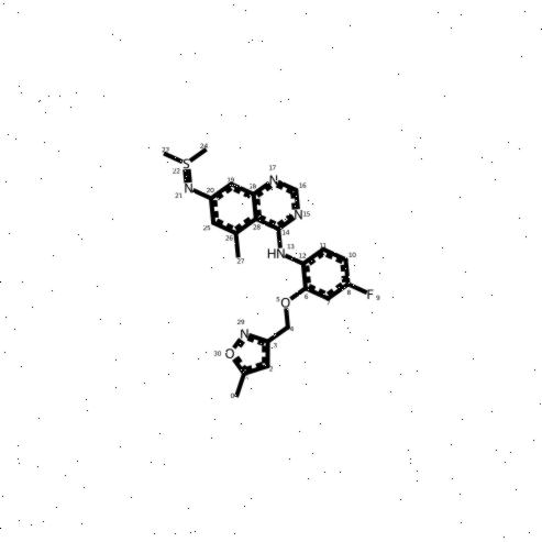 Cc1cc(COc2cc(F)ccc2Nc2ncnc3cc(N=S(C)C)cc(C)c23)no1